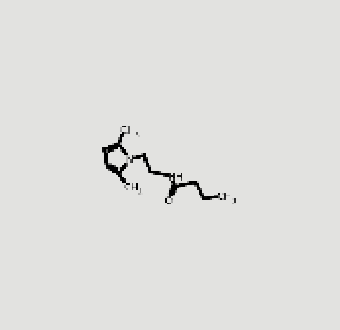 CCCC(=O)NCCn1c(C)ccc1C